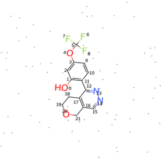 Oc1cc(OC(F)(F)F)ccc1-c1nncc2c1CCOC2